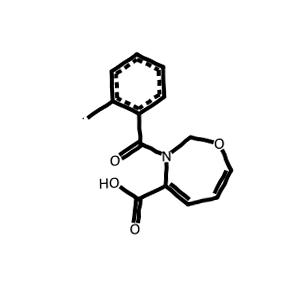 [CH2]c1ccccc1C(=O)N1COC=CC=C1C(=O)O